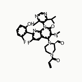 C=CC(=O)N1CCN(c2c(N(C)C)c(=O)n(-c3c(C)ncnc3C(C)C)c3nc(-c4c(O)cccc4F)c(F)cc23)[C@@H](C=O)C1